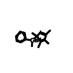 CC1=[C][C](C)([GeH]([CH3])[c]2ccccc2)C(C)=C1C